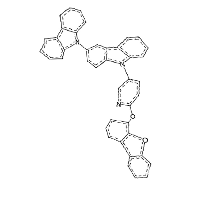 c1ccc2c(c1)oc1c(Oc3ccc(-n4c5ccccc5c5cc(-n6c7ccccc7c7ccccc76)ccc54)cn3)cccc12